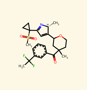 C[C@H]1N=C(C2(S(C)(=O)=O)CC2)C=C1C1CC(C)(C(=O)c2cccc(C(C)(F)F)c2)CCO1